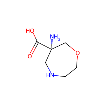 N[C@@]1(C(=O)O)CNCCOC1